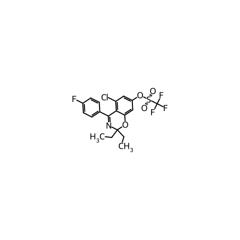 CCC1(CC)N=C(c2ccc(F)cc2)c2c(Cl)cc(OS(=O)(=O)C(F)(F)F)cc2O1